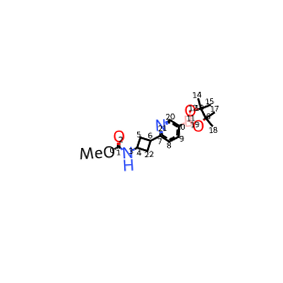 COC(=O)NC1CC(c2ccc(B3OC(C)(C)C(C)(C)O3)cn2)C1